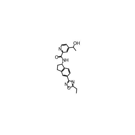 CCc1nc(-c2ccc3c(c2)CC[C@H]3NC(=O)c2cc(C(C)O)ccn2)no1